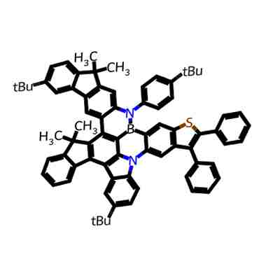 CC(C)(C)c1ccc(N2B3c4cc5sc(-c6ccccc6)c(-c6ccccc6)c5cc4-n4c5ccc(C(C)(C)C)cc5c5c6c(c(c3c54)-c3cc4c(cc32)C(C)(C)c2ccc(C(C)(C)C)cc2-4)C(C)(C)c2ccccc2-6)cc1